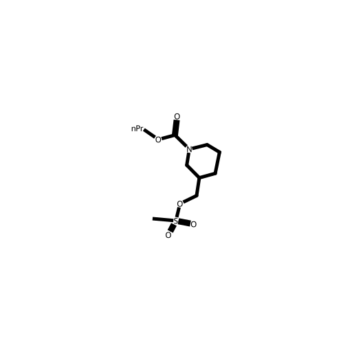 CCCOC(=O)N1CCCC(COS(C)(=O)=O)C1